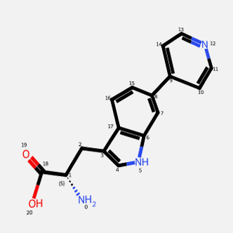 N[C@@H](Cc1c[nH]c2cc(-c3ccncc3)ccc12)C(=O)O